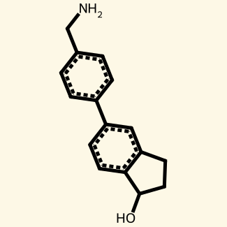 NCc1ccc(-c2ccc3c(c2)CCC3O)cc1